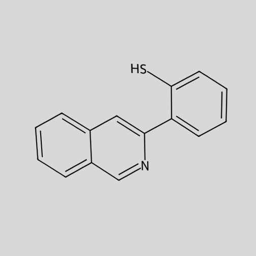 Sc1ccccc1-c1cc2ccccc2cn1